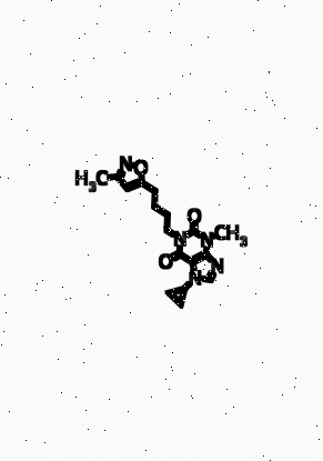 Cc1cc(CCCCn2c(=O)c3c(ncn3C3CC3)n(C)c2=O)on1